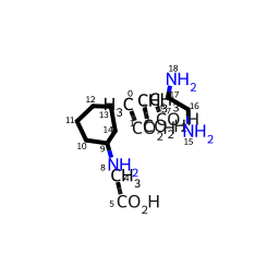 CC(=O)O.CC(=O)O.CC(=O)O.CC(=O)O.NC1CCCCC1.NCCN